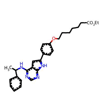 CCOC(=O)CCCCCCOc1ccc(-c2cc3c(NC(C)c4ccccc4)ncnc3[nH]2)cc1